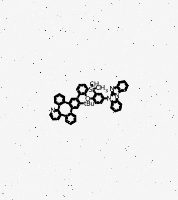 CC(C)(C)c1cc2c(cc1-c1cccc3c1Oc1ccc(-n4c5ccccc5n5c6ccccc6nc45)cc1[Si]3(C)C)-c1ccccc1-c1ncccc1-c1ccccc1-2